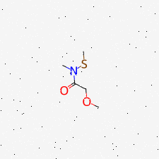 COCC(=O)N(C)SC